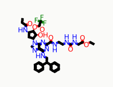 CCOC(=O)CNC(=O)NCCNC(=O)c1nc(NCC(c2ccccc2)c2ccccc2)c2ncn([C@@H]3C[C@H](NC(=O)CC)[C@@H](OC(=O)C(F)(F)F)[C@H]3O)c2n1